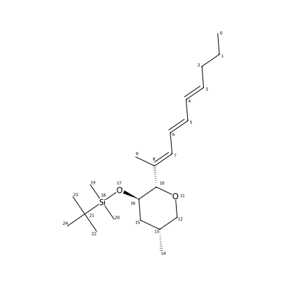 CCC/C=C/C=C/C=C(\C)[C@@H]1OC[C@H](C)C[C@H]1O[Si](C)(C)C(C)(C)C